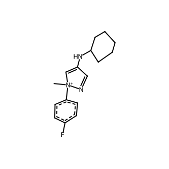 C[N+]1(c2ccc(F)cc2)C=C(NC2CCCCC2)C=N1